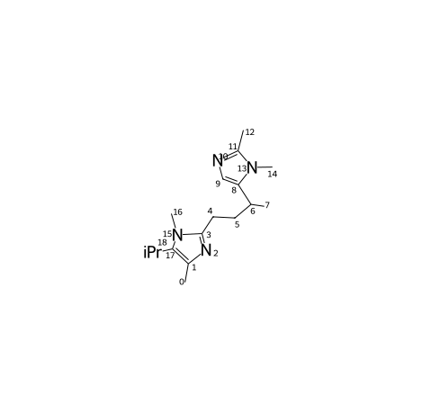 Cc1nc(CCC(C)c2cnc(C)n2C)n(C)c1C(C)C